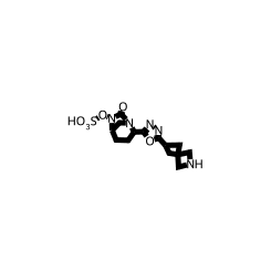 O=C1N2CC(CCC2c2nnc(C3CC4(CNC4)C3)o2)N1OS(=O)(=O)O